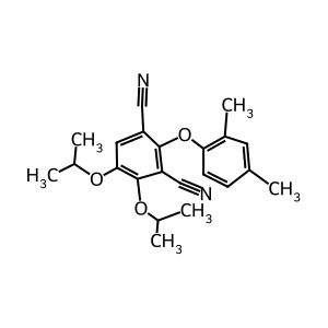 Cc1ccc(Oc2c(C#N)cc(OC(C)C)c(OC(C)C)c2C#N)c(C)c1